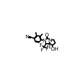 Cc1c(C#N)ccc(N2C(=O)N3CCC(O)[C@H]3C2C(F)(F)F)c1C